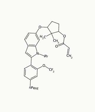 C=CC(=O)OC1CCC(Oc2ccc3cc(-c4ccc(CCCCC)cc4OC(F)(F)F)n(C(C)C)c3c2)C1(C)C